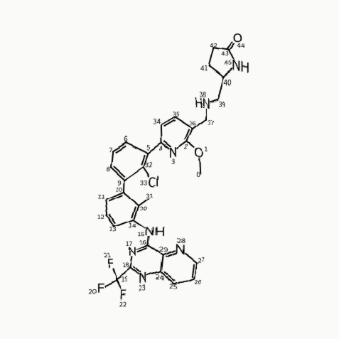 COc1nc(-c2cccc(-c3cccc(Nc4nc(C(F)(F)F)nc5cccnc45)c3C)c2Cl)ccc1CNCC1CCC(=O)N1